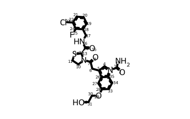 NC(=O)n1cc(CC(=O)N2CCS[C@H]2C(=O)NCc2cccc(Cl)c2F)c2cc(OCCO)ccc21